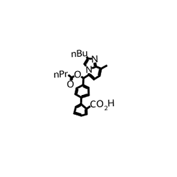 CCCCc1cn2c(C(OC(=O)CCC)c3ccc(-c4ccccc4C(=O)O)cc3)ccc(C)c2n1